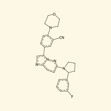 N#Cc1cc(-c2cnc3ccc(N4CCCC4c4cccc(F)c4)nn23)ccc1N1CCOCC1